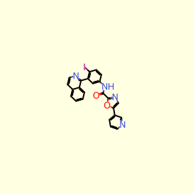 O=C(Nc1ccc(I)c(-c2nccc3ccccc23)c1)c1ncc(-c2cccnc2)o1